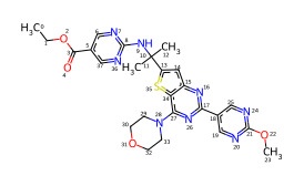 CCOC(=O)c1cnc(NC(C)(C)c2cc3nc(-c4cnc(OC)nc4)nc(N4CCOCC4)c3s2)nc1